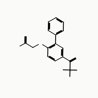 CC(C)(C)C(=O)c1ccc(OCC(=O)O)c(-c2ccccc2)c1